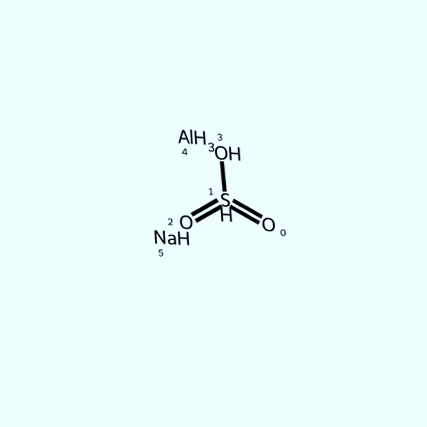 O=[SH](=O)O.[AlH3].[NaH]